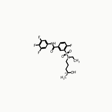 CCN(CCC[C@H](C)O)S(=O)(=O)c1cc(C(=O)Nc2cc(F)c(F)c(F)c2)ccc1F